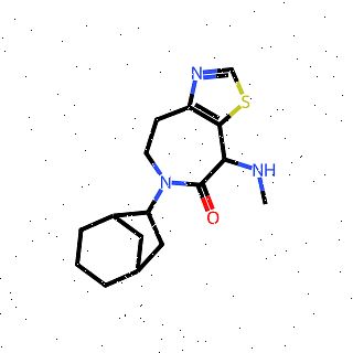 CNC1C(=O)N(C2CC3CCCC2C3)CCc2ncsc21